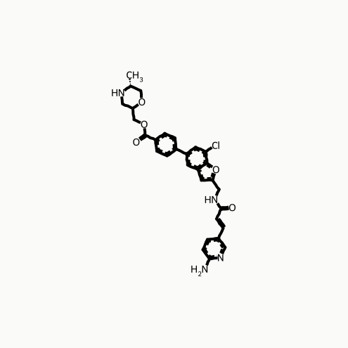 C[C@@H]1COC(COC(=O)c2ccc(-c3cc(Cl)c4oc(CNC(=O)/C=C/c5ccc(N)nc5)cc4c3)cc2)CN1